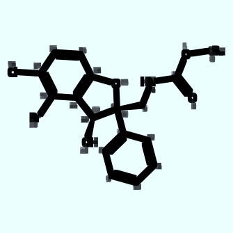 CC(C)(C)OC(=O)NC[C@]1(c2ccccc2)Oc2ccc(Cl)c(Br)c2[C@@H]1O